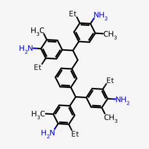 CCc1cc(C(Cc2cccc(C(c3cc(C)c(N)c(CC)c3)c3cc(C)c(N)c(CC)c3)c2)c2cc(C)c(N)c(CC)c2)cc(C)c1N